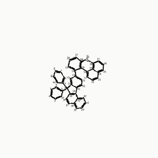 c1ccc(C2(c3ccccc3)c3cc(-c4cccc5c4-c4cccc6cccc(c46)S5)ccc3-c3c2ccc2ccccc32)cc1